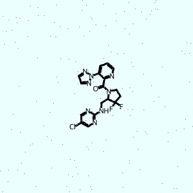 O=C(c1ncccc1-n1nccn1)N1CCC(F)(F)C1CNc1ncc(Cl)cn1